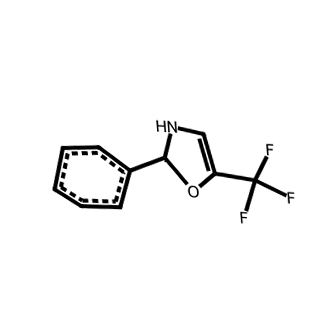 FC(F)(F)C1=CN[C](c2ccccc2)O1